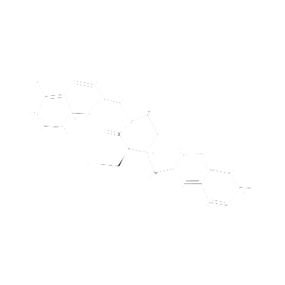 COC[C@H]1C(=O)N(Cc2ccc3c(N)ncnc3c2)CCN1C(=O)c1cc2ccc(Cl)cc2cn1